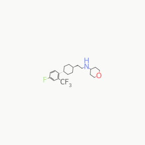 Fc1ccc([C@H]2CC[C@H](CCNC3CCOCC3)CC2)c(C(F)(F)F)c1